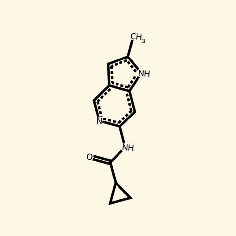 Cc1cc2cnc(NC(=O)C3CC3)cc2[nH]1